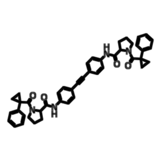 O=C(Nc1ccc(C#Cc2ccc(NC(=O)C3CCCN3C(=O)C3(c4ccccc4)CC3)cc2)cc1)C1CCCN1C(=O)C1(c2ccccc2)CC1